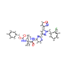 CCC(C)(NC(=O)OCc1ccccc1)C(=O)Nc1ccnc(-c2cc(-c3ccon3)n(Cc3ccccc3F)n2)n1